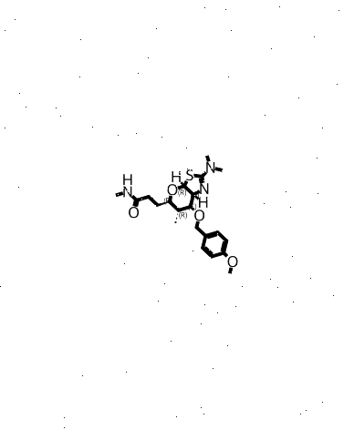 CNC(=O)CC[C@H]1O[C@@H]2SC(N(C)C)=N[C@@H]2[C@@H](OCc2ccc(OC)cc2)[C@@H]1C